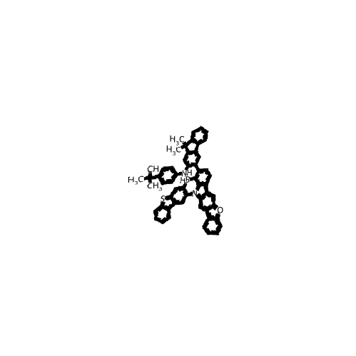 CC(C)(C)c1ccc(Nc2cc3c(cc2-c2ccc4c5cc6oc7ccccc7c6cc5n5c4c2Bc2cc4sc6ccccc6c4cc2-5)-c2ccccc2C3(C)C)cc1